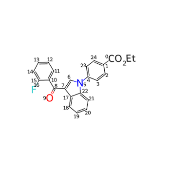 CCOC(=O)c1ccc(-n2cc(C(=O)c3ccccc3F)c3ccccc32)cc1